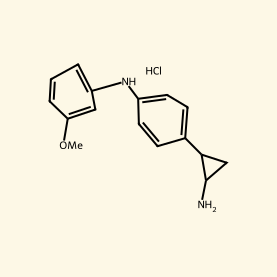 COc1cccc(Nc2ccc(C3CC3N)cc2)c1.Cl